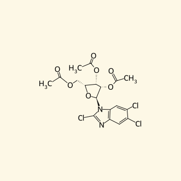 CC(=O)OC[C@H]1O[C@H](n2c(Cl)nc3cc(Cl)c(Cl)cc32)[C@@H](OC(C)=O)[C@H]1OC(C)=O